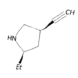 C#C[C@@H]1CN[C@H](CC)C1